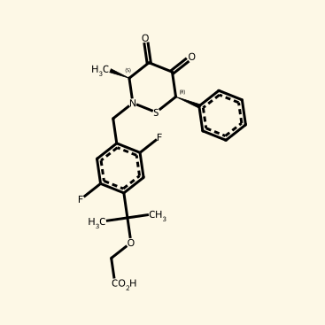 C[C@H]1C(=O)C(=O)[C@@H](c2ccccc2)SN1Cc1cc(F)c(C(C)(C)OCC(=O)O)cc1F